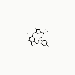 COC(=O)C1CC(C)=C(Cc2c(OC)c(C)c3c(c2OS(=O)(=O)c2ccc(C)cc2)C(=O)OC3)C1